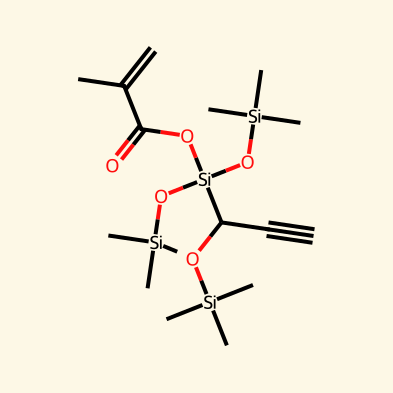 C#CC(O[Si](C)(C)C)[Si](OC(=O)C(=C)C)(O[Si](C)(C)C)O[Si](C)(C)C